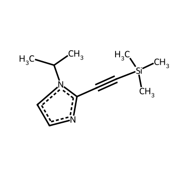 CC(C)n1ccnc1C#C[Si](C)(C)C